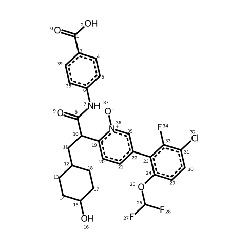 O=C(O)c1ccc(NC(=O)C(CC2CCC(O)CC2)c2ccc(-c3c(OC(F)F)ccc(Cl)c3F)c[n+]2[O-])cc1